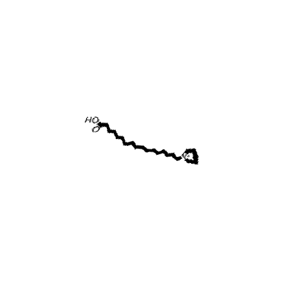 O=C(O)CCCCCCCCCCCCCCCC[n+]1ccccc1